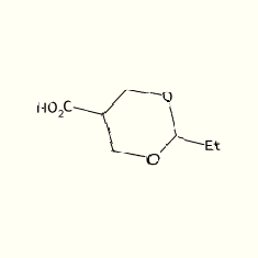 CCC1OCC(C(=O)O)CO1